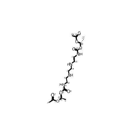 CC(=O)O[C@H](C)OC(=O)NCCNCCNCCNC(=O)O[C@@H](C)OC(C)=O